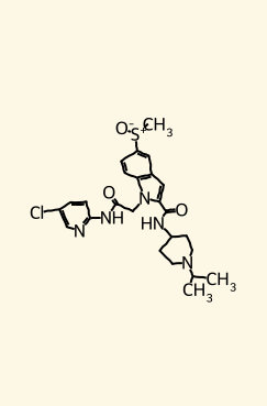 CC(C)N1CCC(NC(=O)c2cc3cc([S+](C)[O-])ccc3n2CC(=O)Nc2ccc(Cl)cn2)CC1